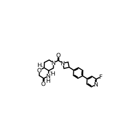 O=C1CO[C@H]2CCN(C(=O)N3CC(c4ccc(-c5ccnc(F)c5)cc4)C3)C[C@H]2N1